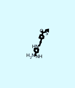 N=C(N)c1ccc(NCC#Cc2ccc(C(=O)c3cccs3)cc2)cc1